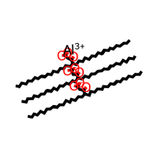 CCCCCCCCC=CCCCCCCCCC(CCCCCCCCC=CCCCCCCCC)C(=O)CC(=O)[O-].CCCCCCCCC=CCCCCCCCCC(CCCCCCCCC=CCCCCCCCC)C(=O)CC(=O)[O-].CCCCCCCCC=CCCCCCCCCC(CCCCCCCCC=CCCCCCCCC)C(=O)CC(=O)[O-].[Al+3]